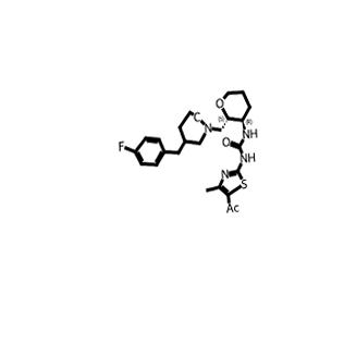 CC(=O)c1sc(NC(=O)N[C@@H]2CCCO[C@H]2CN2CCCC(Cc3ccc(F)cc3)C2)nc1C